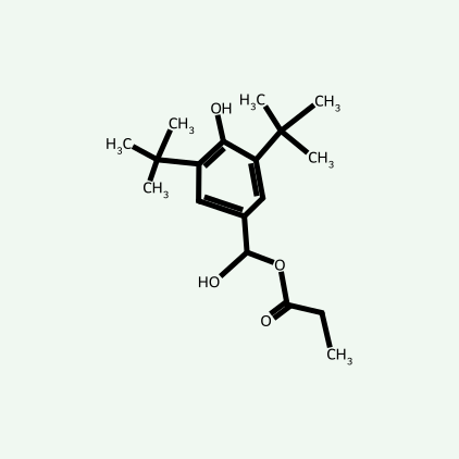 CCC(=O)OC(O)c1cc(C(C)(C)C)c(O)c(C(C)(C)C)c1